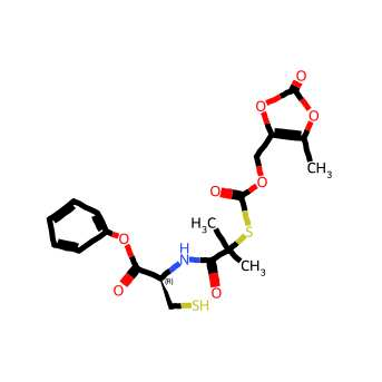 Cc1oc(=O)oc1COC(=O)SC(C)(C)C(=O)N[C@@H](CS)C(=O)Oc1ccccc1